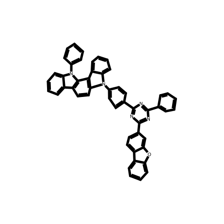 c1ccc(-c2nc(-c3ccc(-n4c5ccccc5c5c4ccc4c6ccccc6n(-c6ccccc6)c45)cc3)nc(-c3ccc4c(c3)oc3ccccc34)n2)cc1